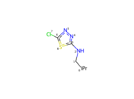 CC(C)CNc1nnc(Cl)s1